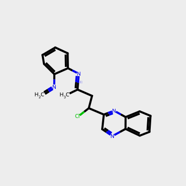 C=Nc1ccccc1/N=C(\C)CC(Cl)c1cnc2ccccc2n1